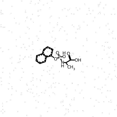 CC(NP(=O)(O)Oc1cccc2ccccc12)C(=O)O